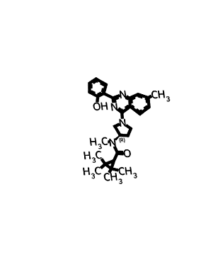 Cc1ccc2c(N3CC[C@@H](N(C)C(=O)C4C(C)(C)C4(C)C)C3)nc(-c3ccccc3O)nc2c1